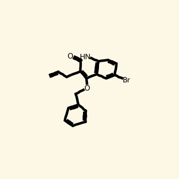 C=CCc1c(OCc2ccccc2)c2cc(Br)ccc2[nH]c1=O